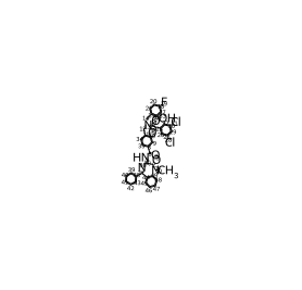 CN1C(=O)[C@@H](NC(=O)c2ccc(CN(Cc3ccc(F)cc3)S(=O)(=O)c3cc(Cl)cc(Cl)c3O)cc2)N=C(c2ccccc2)c2ccccc21